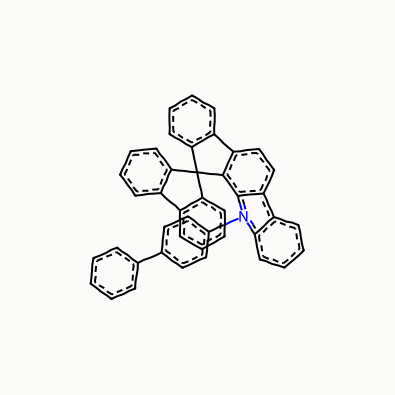 c1ccc(-c2ccc(-n3c4ccccc4c4ccc5c(c43)C3(c4ccccc4-c4ccccc43)c3ccccc3-5)cc2)cc1